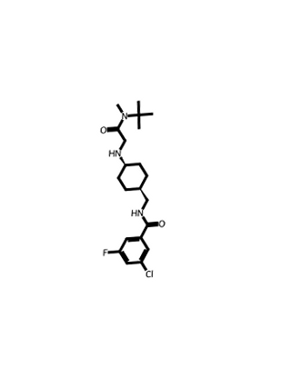 CN(C(=O)CN[C@H]1CC[C@@H](CNC(=O)c2cc(F)cc(Cl)c2)CC1)C(C)(C)C